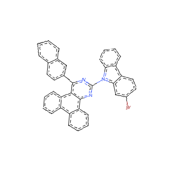 Brc1ccc2c3ccccc3n(-c3nc(-c4ccc5ccccc5c4)c4c5ccccc5c5ccccc5c4n3)c2c1